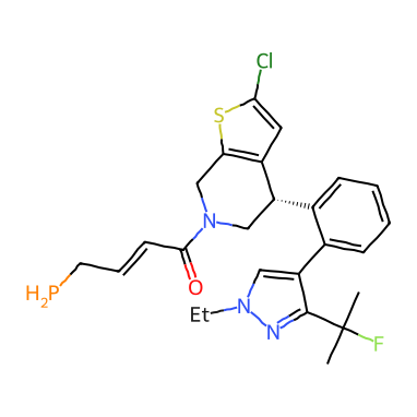 CCn1cc(-c2ccccc2[C@@H]2CN(C(=O)/C=C/CP)Cc3sc(Cl)cc32)c(C(C)(C)F)n1